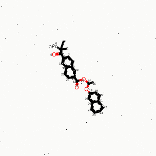 CCCC(C)(C)C(=O)c1ccc2cc(C(=O)OC(C)Oc3ccc4ccccc4c3)ccc2c1